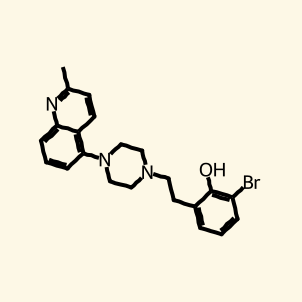 Cc1ccc2c(N3CCN(CCc4cccc(Br)c4O)CC3)cccc2n1